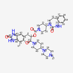 Cc1cc(CC(OC(=O)N2CCC(N3CCc4ccccc4NC3=O)CC2)C(=O)N2CCC(N3CCN(C)CC3)CC2)cc2[nH]c(=O)[nH]c12